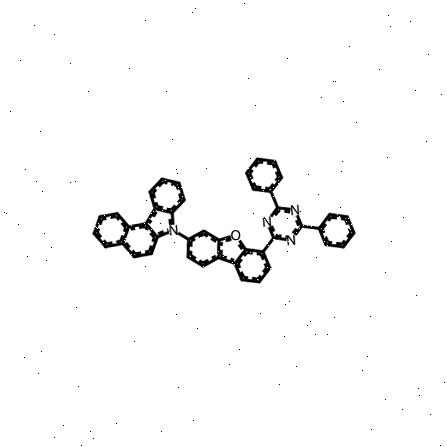 c1ccc(-c2nc(-c3ccccc3)nc(-c3cccc4c3oc3cc(-n5c6ccccc6c6c7ccccc7ccc65)ccc34)n2)cc1